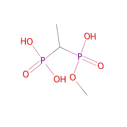 COP(=O)(O)C(C)P(=O)(O)O